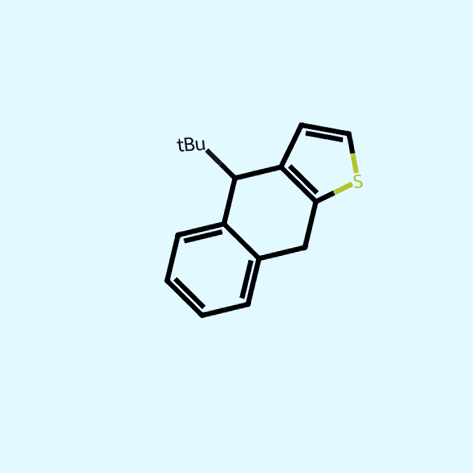 CC(C)(C)C1c2ccccc2Cc2sccc21